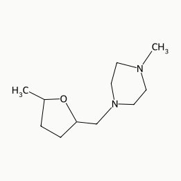 CC1CCC(CN2CCN(C)CC2)O1